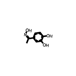 C/C(=N/O)c1ccc(O)c(O)c1